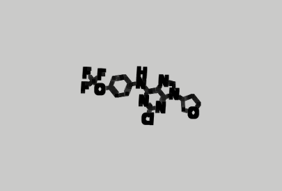 FC(F)(F)Oc1ccc(Nc2nc(Cl)nc3c2ncn3C2CCOC2)cc1